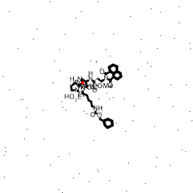 CCN1CCC[C@]1(C(N)=O)N(C(=O)C(CC(C)C)N[C@H](CCN1C(=O)c2cccc3cccc(c23)C1=O)P(=O)(OC)OC)C(CCCCNC(=O)OCc1ccccc1)C(=O)O